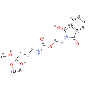 CCO[Si](CCCNC(=O)OCCN1C(=O)c2ccccc2C1=O)(OCC)OCC